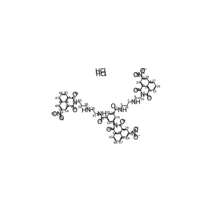 Cl.Cl.O=C(NCCCNCCN1C(=O)c2cccc3cc([N+](=O)[O-])cc(c23)C1=O)c1cc(C(=O)NCCNCCCN2C(=O)c3cccc4cc([N+](=O)[O-])cc(c34)C2=O)cc(N2C(=O)c3cccc4cc([N+](=O)[O-])cc(c34)C2=O)c1